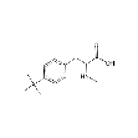 CNC(Cc1ccc(C(C)(C)C)cc1)C(=O)O